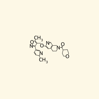 Cc1ccc(-c2noc(C)c2COc2cc3c(cn2)CN(C(=O)C2CCOCC2)CC3)cn1